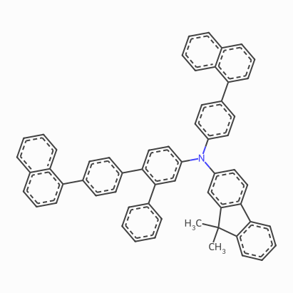 CC1(C)c2ccccc2-c2ccc(N(c3ccc(-c4cccc5ccccc45)cc3)c3ccc(-c4ccc(-c5cccc6ccccc56)cc4)c(-c4ccccc4)c3)cc21